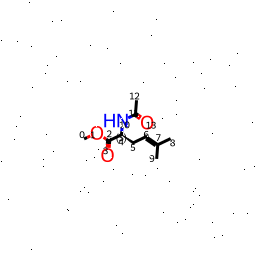 COC(=O)[C@H](CC=C(C)C)NC(C)=O